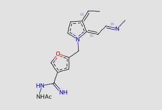 C/C=c1/ccn(Cc2cc(C(=N)NNC(C)=O)co2)/c1=C/C=N/C